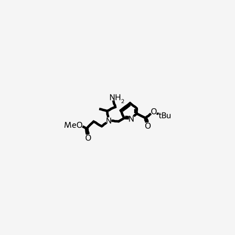 COC(=O)CCN(Cc1cccc(C(=O)OC(C)(C)C)n1)C(C)CN